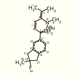 C=C(/C=C\C(=C(C)C)N(C)CCCC)c1ccc2c(c1)CC(C)(F)C2